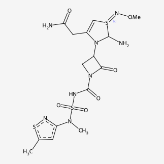 CO/N=S1/C=C(CC(N)=O)N(C2CN(C(=O)NS(=O)(=O)N(C)c3cc(C)sn3)C2=O)C1N